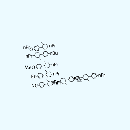 CCCC1CCC(c2ccc(C#N)cc2)C(C)C1.CCCC1CCC(c2ccc(CC)cc2)C(C)C1.CCCC1CCC(c2ccc(OC)cc2)C(C)C1.CCCC1CCC(c2ccc(OCC)cc2)C(C)C1.CCCCc1ccc(C2CCC(CCC)CC2C)cc1.CCCOc1ccc(C2CCC(CCC)CC2C)cc1.CCCc1ccc(C2CCC(CCC)CC2C)cc1